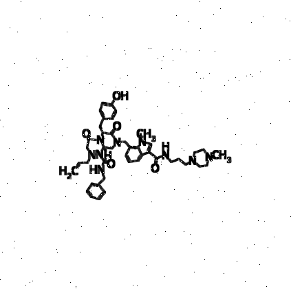 C=CCN1CC(=O)N2[C@@H](Cc3ccc(O)cc3)C(=O)N(Cc3cccc4c(C(=O)NCCCN5CCN(C)CC5)cn(C)c34)C[C@@H]2N1C(=O)NCc1ccccc1